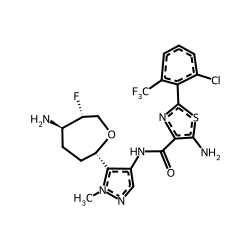 Cn1ncc(NC(=O)c2nc(-c3c(Cl)cccc3C(F)(F)F)sc2N)c1[C@@H]1CC[C@@H](N)[C@H](F)CO1